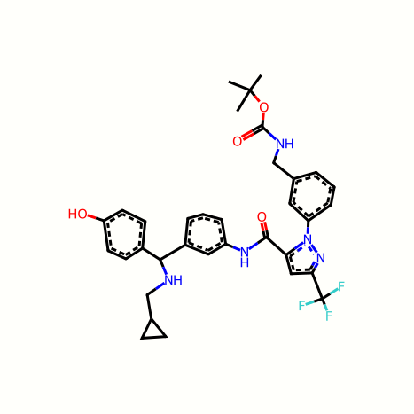 CC(C)(C)OC(=O)NCc1cccc(-n2nc(C(F)(F)F)cc2C(=O)Nc2cccc(C(NCC3CC3)c3ccc(O)cc3)c2)c1